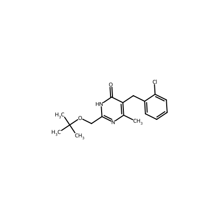 Cc1nc(COC(C)(C)C)[nH]c(=O)c1Cc1ccccc1Cl